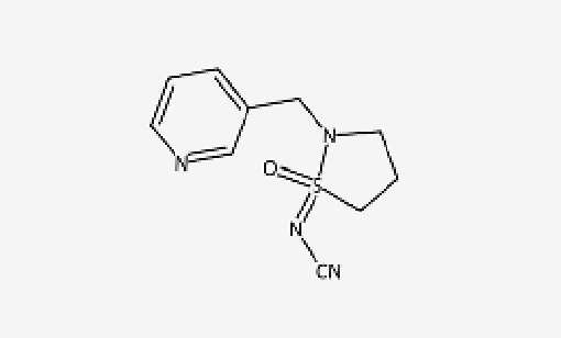 N#CN=S1(=O)CCCN1Cc1cccnc1